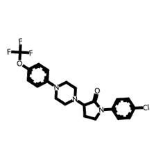 O=C1C(N2CCN(c3ccc(OC(F)(F)F)cc3)CC2)CCN1c1ccc(Cl)cc1